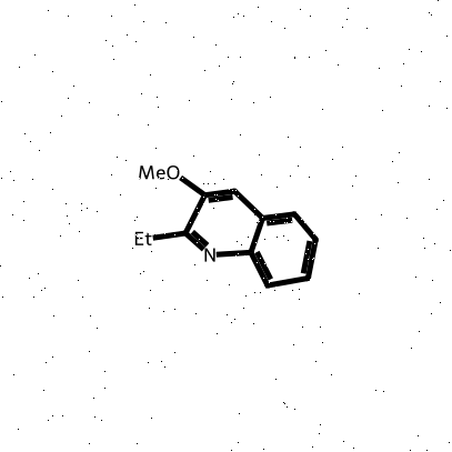 CCc1nc2ccccc2cc1OC